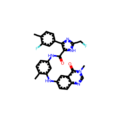 Cc1ccc(-c2nc(CF)[nH]c2C(=O)Nc2ccc(C)c(Nc3ccc4ncn(C)c(=O)c4c3)c2)cc1F